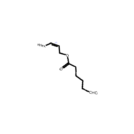 CCCCCC/C=C\COC(=O)CCCCC=O